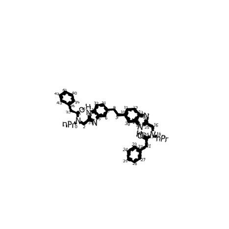 CCCN(Cc1nc2cc(CCc3ccc4nc(CN(CCC)C(=O)Cc5ccccc5)[nH]c4c3)ccc2[nH]1)C(=O)Cc1ccccc1